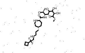 CSC1O[C@H]([C@H](NC(=O)[C@@H]2CC[C@H](CCCNCC(F)(F)C3CCC3)CCN2)[C@H](C)Cl)C(O)C(O)[C@H]1O